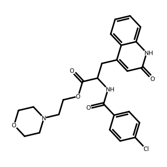 O=C(NC(Cc1cc(=O)[nH]c2ccccc12)C(=O)OCCN1CCOCC1)c1ccc(Cl)cc1